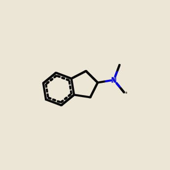 [CH2]N(C)C1Cc2ccccc2C1